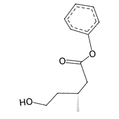 C[C@H](CCO)CC(=O)Oc1ccccc1